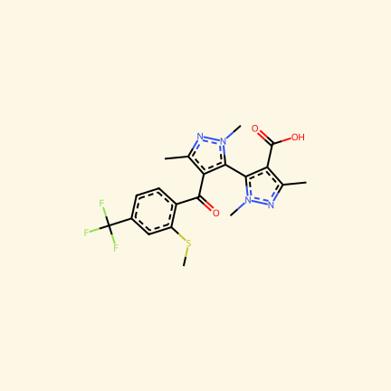 CSc1cc(C(F)(F)F)ccc1C(=O)c1c(C)nn(C)c1-c1c(C(=O)O)c(C)nn1C